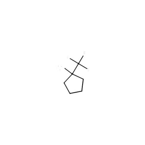 [CH2]C1(C(F)(F)F)CCCC1